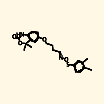 Cc1ccc(SON=CCCCOc2ccc3c(c2)C(C)(C)OC(=O)N3)cc1C